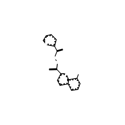 O=C(NNC(=O)c1ccc2cccc(O)c2n1)c1ccccn1